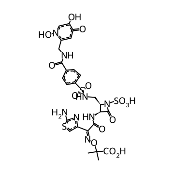 CC(C)(O/N=C(\C(=O)N[C@@H]1C(=O)N(S(=O)(=O)O)[C@@H]1CNS(=O)(=O)c1ccc(C(=O)NCc2cc(=O)c(O)cn2O)cc1)c1csc(N)n1)C(=O)O